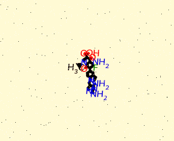 COc1c(-c2ccc3c(c2)CCN3Cc2cnc(N)nc2N)c(F)c(N)c2c(=O)c(C(=O)O)cn(C3CC3)c12